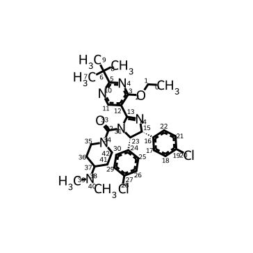 CCOc1nc(C(C)(C)C)ncc1C1=N[C@H](c2ccc(Cl)cc2)[C@H](c2ccc(Cl)cc2)N1C(=O)N1CCC(N(C)C)CC1